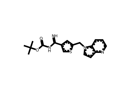 CC(C)(C)OC(=O)NC(=N)c1csc(Cn2ccc3ncccc32)c1